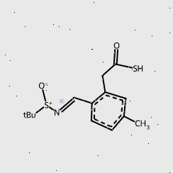 Cc1ccc(/C=N/[S+]([O-])C(C)(C)C)c(CC(=O)S)c1